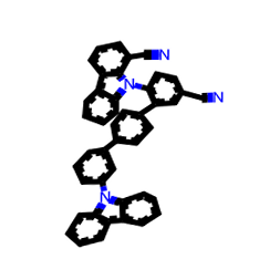 N#Cc1ccc(-n2c3ccccc3c3cccc(C#N)c32)c(-c2ccc(-c3cccc(-n4c5ccccc5c5ccccc54)c3)cc2)c1